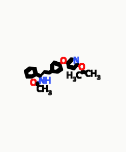 CC(=O)N[C@H](CCc1ccc(Oc2ccc(OC(C)C)nc2)cc1)c1ccccc1